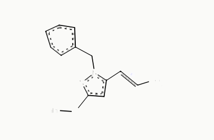 CC(C)Oc1cc(/C=C/C(=O)O)n(Cc2ccccc2)n1